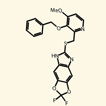 COc1ccnc(CSc2nc3cc4c(cc3[nH]2)OC(F)(F)O4)c1OCc1ccccc1